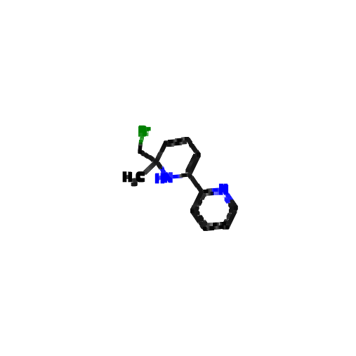 CC1(CBr)C=CC=C(c2ccccn2)N1